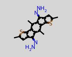 Cc1cc2/c(=N\N)c3c(C)c4c(c(C)c3c2s1)/c(=N/N)c1cc(C)sc14